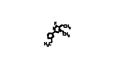 C=CN1C=C(c2cccc(CC)c2)N=C(F)/C1=C/C